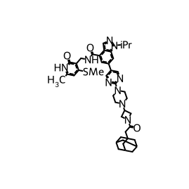 CSc1cc(C)[nH]c(=O)c1CNC(=O)c1cc(-c2cnc(N3CCN(C4CN(C(=O)CC56CC7CC(CC(C7)C5)C6)C4)CC3)nc2)cc2c1cnn2C(C)C